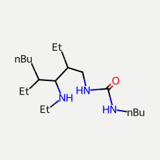 CCCCNC(=O)NCC(CC)C(NCC)C(CC)CCCC